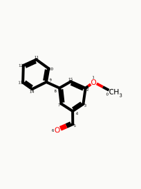 COc1cc(C=O)cc(-c2ccccc2)c1